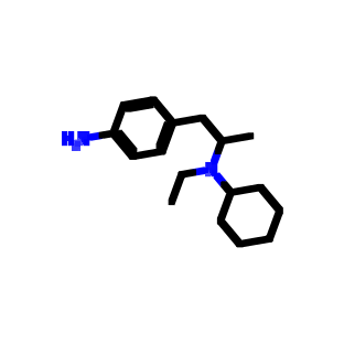 CCN(C(C)Cc1ccc(N)cc1)C1CCCCC1